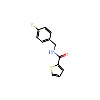 O=C(NCc1ccc(F)cc1)c1cccs1